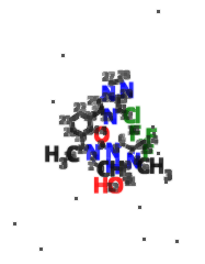 CCN(C(=O)NCC(N(C)CCO)C(F)(F)F)C(C)c1cccc(-c2cn3ccnc3c(Cl)n2)c1